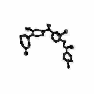 C[C@H]1CN(C(=O)c2ccc(SCC(=O)c3ccc(F)cc3)c(Cl)c2)CCN1c1cccc(Cl)c1